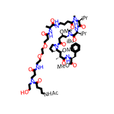 CC[C@H](C)[C@@H]([C@@H](CC(=O)N1CCC[C@H]1[C@H](OC)[C@@H](C)C(=O)N[C@@H](Cc1ccccc1)C(=O)OC)OC)N(C)C(=O)[C@@H](NC(=O)[C@H](C(C)C)N(C)C(=O)CCCNC(=O)C(C)NC(=O)CCOCCOCCNC(=O)CCN(CCO)C(=O)CCCNC(C)=O)C(C)C